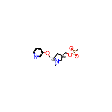 CN1C[C@H](COS(C)(=O)=O)C[C@H]1COc1cccnc1